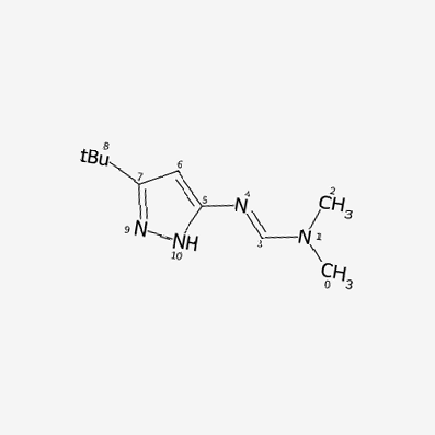 CN(C)C=Nc1cc(C(C)(C)C)n[nH]1